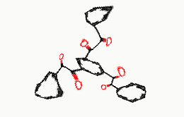 O=C(C(=O)c1cc(C(=O)C(=O)c2ccccc2)cc(C(=O)C(=O)c2ccccc2)c1)c1ccccc1